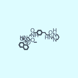 CCOC(=O)[C@H](CNC(=O)c1ccc(CCC(=O)NC2=NCCCN2)cc1)NS(=O)(=O)c1cccc2ccccc12